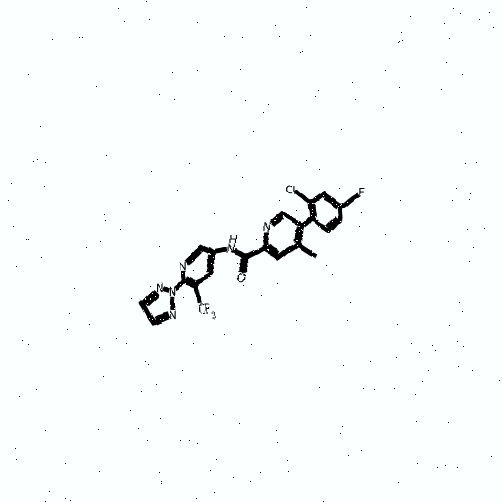 Cc1cc(C(=O)Nc2cnc(-n3nccn3)c(C(F)(F)F)c2)ncc1-c1ccc(F)cc1Cl